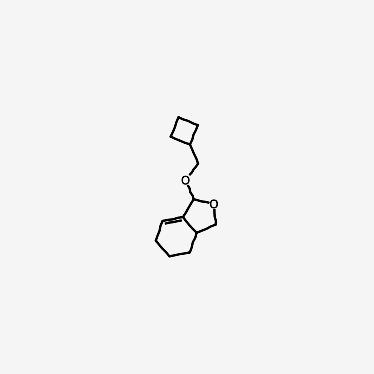 C1=C2C(CCC1)COC2OCC1CCC1